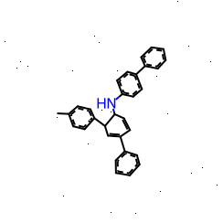 Cc1ccc(C2C=C(c3ccccc3)C=CC2Nc2ccc(-c3ccccc3)cc2)cc1